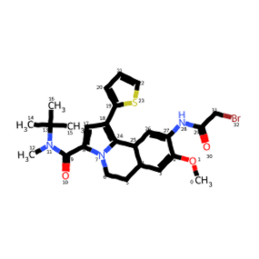 COC1=CC2CCn3c(C(=O)N(C)C(C)(C)C)cc(-c4cccs4)c3C2C=C1NC(=O)CBr